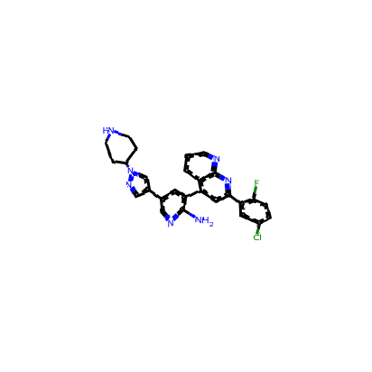 Nc1ncc(-c2cnn(C3CCNCC3)c2)cc1-c1cc(-c2cc(Cl)ccc2F)nc2ncccc12